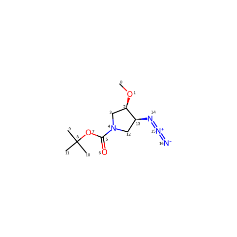 CO[C@@H]1CN(C(=O)OC(C)(C)C)C[C@@H]1N=[N+]=[N-]